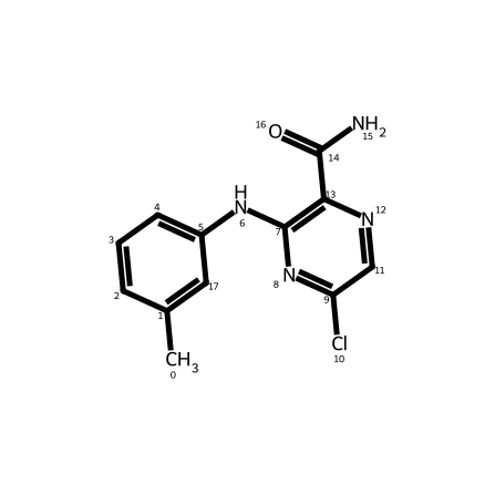 Cc1cccc(Nc2nc(Cl)cnc2C(N)=O)c1